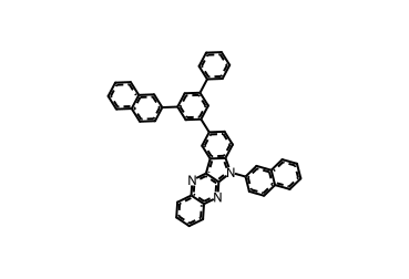 c1ccc(-c2cc(-c3ccc4ccccc4c3)cc(-c3ccc4c(c3)c3nc5ccccc5nc3n4-c3ccc4ccccc4c3)c2)cc1